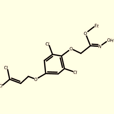 CCOC(COc1c(Cl)cc(OCC=C(Cl)Cl)cc1Cl)=NO